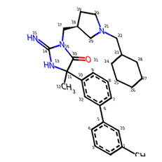 Cc1cccc(-c2cccc(C3(C)NC(=N)N(C[C@H]4CCN(CC5CCCCC5)C4)C3=O)c2)c1